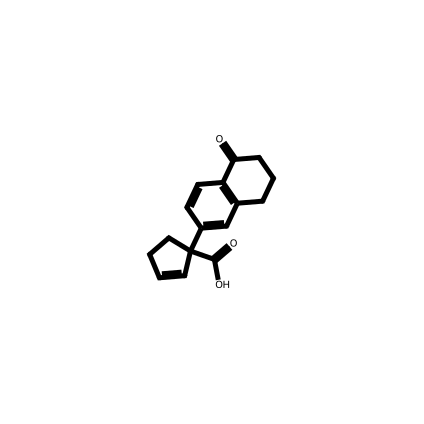 O=C1CCCc2cc(C3(C(=O)O)C=CCC3)ccc21